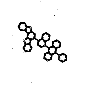 c1ccc(-c2c3ccccc3c(-c3ccc(-c4cc5sc6ccccc6c5c5sc6ccccc6c45)c4ccccc34)c3ccccc23)cc1